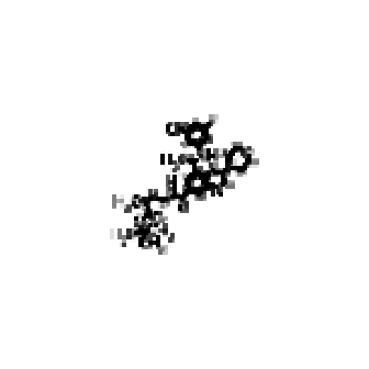 CC(Nc1cc(F)cc(Cl)c1)c1cc(C(=O)NCCN(C)C(=O)OC(C)(C)C)cc2ncc(N3CCOCC3)nc12